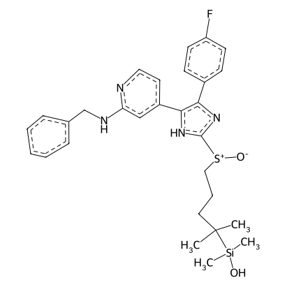 CC(C)(CCC[S+]([O-])c1nc(-c2ccc(F)cc2)c(-c2ccnc(NCc3ccccc3)c2)[nH]1)[Si](C)(C)O